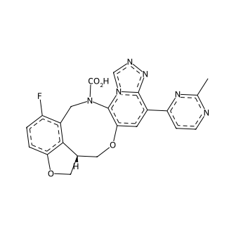 Cc1nccc(-c2cc3c(n4cnnc24)N(C(=O)O)Cc2c(F)ccc4c2[C@@H](CO4)CO3)n1